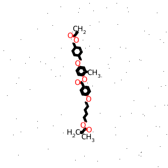 C=CC(=O)OCC1CCC(COc2ccc(OC(=O)c3ccc(OCCCCCCOC(=O)C(=C)C)cc3)c(C)c2)CC1